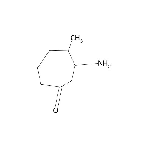 CC1CCCC(=O)CC1N